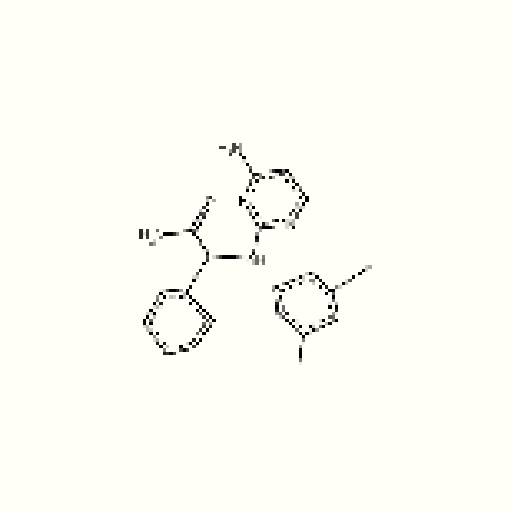 Cc1cccc(C)c1.NC(=O)C(Nc1nccc(N)n1)c1ccccc1